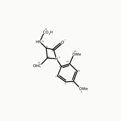 COc1ccc(N2C(=O)C(NC(=O)O)C2C=O)c(OC)c1